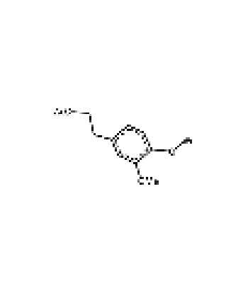 COc1cc(CCOC(C)=O)ccc1OC(C)C